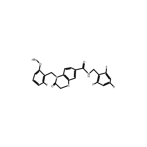 CCCCOc1cccc(F)c1CN1C(=O)CSc2cc(C(=O)NCc3c(F)cc(F)cc3F)ccc21